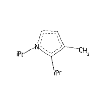 Cc1ccn(C(C)C)c1C(C)C